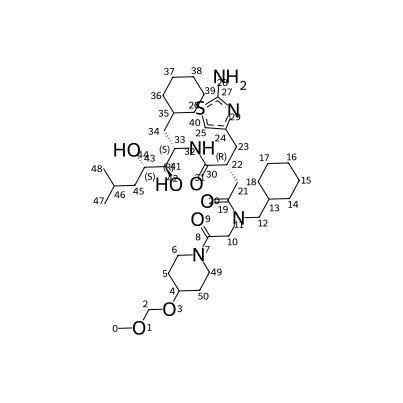 COCOC1CCN(C(=O)CN(CC2CCCCC2)C(=O)C[C@@H](Cc2csc(N)n2)C(=O)N[C@@H](CC2CCCCC2)[C@@H](O)[C@@H](O)CC(C)C)CC1